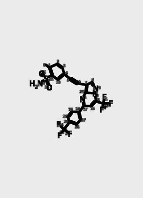 Cc1ccc(C#Cc2cnn3c(C(F)(F)F)cc(-c4ccc(C(F)(F)F)cc4)nc23)cc1S(N)(=O)=O